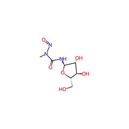 CN(N=O)C(=O)N[C@@H]1O[C@@H](CO)[C@H](O)[C@H]1O